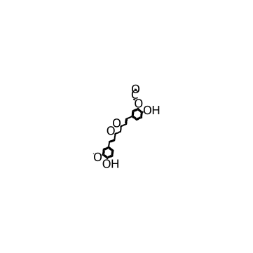 COc1cc(/C=C/C(=O)CC(=O)/C=C/c2ccc(O)c(OC=C=O)c2)ccc1O